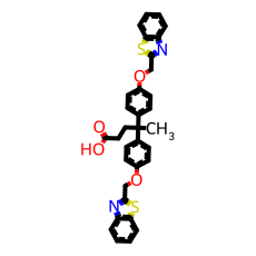 CC(CCC(=O)O)(c1ccc(OCc2nc3ccccc3s2)cc1)c1ccc(OCc2nc3ccccc3s2)cc1